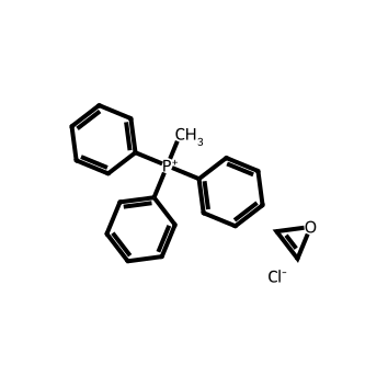 C1=CO1.C[P+](c1ccccc1)(c1ccccc1)c1ccccc1.[Cl-]